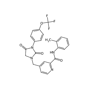 Cc1ccccc1NC(=O)c1cc(CN2CC(=O)N(c3ccc(OC(F)(F)F)cc3)C2=O)ccn1